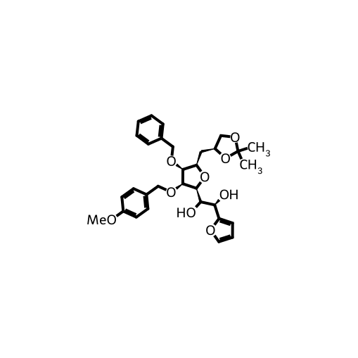 COc1ccc(CO[C@H]2[C@@H](OCc3ccccc3)[C@@H](C[C@H]3COC(C)(C)O3)O[C@H]2C(O)[C@@H](O)c2ccco2)cc1